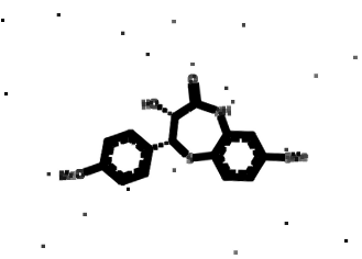 COc1ccc([C@H]2Sc3ccc(SC)cc3NC(=O)[C@H]2O)cc1